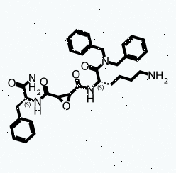 NCCCC[C@H](NC(=O)C1OC1C(=O)N[C@@H](Cc1ccccc1)C(N)=O)C(=O)N(Cc1ccccc1)Cc1ccccc1